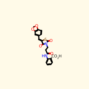 O=C(CCN1C(=O)S/C(=C\c2ccc3c(c2)OCO3)C1=O)Nc1ccccc1C(=O)O